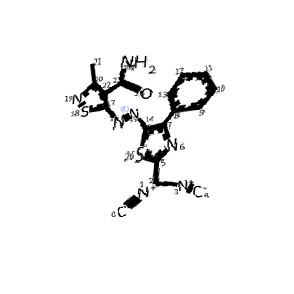 [C-]#[N+]C([N+]#[C-])c1nc(-c2ccccc2)c(/N=N/c2snc(C)c2C(N)=O)s1